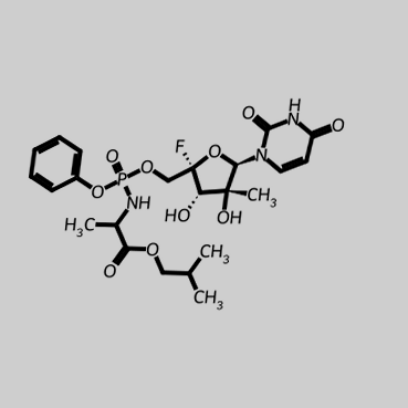 CC(C)COC(=O)C(C)NP(=O)(OC[C@@]1(F)O[C@@H](n2ccc(=O)[nH]c2=O)[C@](C)(O)[C@@H]1O)Oc1ccccc1